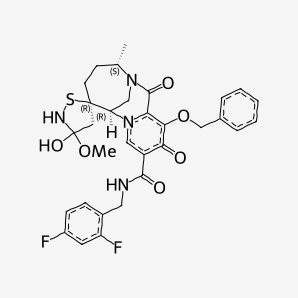 COC1(O)C[C@@]2(CC[C@H](C)N3C[C@H]2n2cc(C(=O)NCc4ccc(F)cc4F)c(=O)c(OCc4ccccc4)c2C3=O)SN1